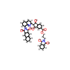 O=C(OCCCN1C(=O)c2ccccc2C1=O)c1ccc2c(c1)C(=O)C(c1ccc3cccc(N4C(=O)c5cc6ccccc6cc5C4=O)c3n1)C2=O